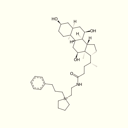 C[C@H](CCC(=O)NCC[N+]1(CCCc2ccccc2)CCCC1)[C@H]1CC[C@H]2[C@@H]3[C@H](O)C[C@@H]4C[C@H](O)CC[C@]4(C)[C@H]3C[C@H](O)[C@]12C